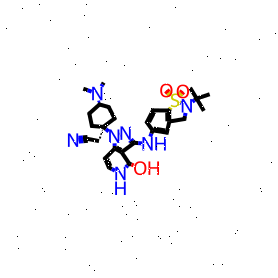 CN(C)[C@H]1CC[C@@](CC#N)(n2nc(Nc3ccc4c(c3)CN(C(C)(C)C)S4(=O)=O)c3c2C=CNC3O)CC1